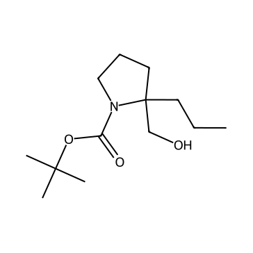 CCCC1(CO)CCCN1C(=O)OC(C)(C)C